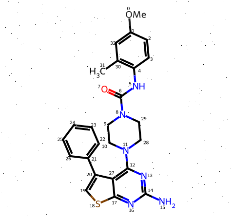 COc1ccc(NC(=O)N2CCN(c3nc(N)nc4scc(-c5ccccc5)c34)CC2)c(C)c1